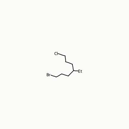 [CH2]CC(CCCCl)CCCBr